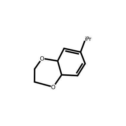 CC(C)C1=CC2OCCOC2C=C1